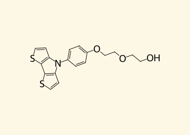 OCCOCCOc1ccc(-n2c3ccsc3c3sccc32)cc1